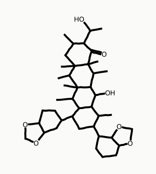 CC(O)C1C(=O)C2(C)C(C)C3C(O)C4C(C)C(C5CCCC6OCOC65)CC(C5CCC6OCOC6C5)C4C(C)C3(C)C(C)C2(C)CC1C